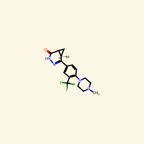 CN1CCN(c2ccc(C3=NNC(=O)C4C[C@@H]34)cc2C(F)(F)F)CC1